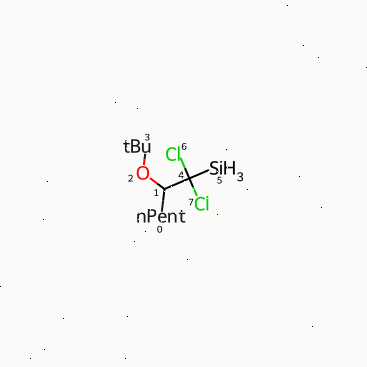 CCCCCC(OC(C)(C)C)C([SiH3])(Cl)Cl